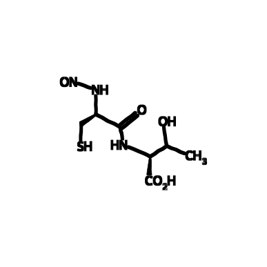 CC(O)[C@H](NC(=O)[C@@H](CS)NN=O)C(=O)O